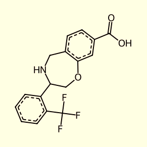 O=C(O)c1ccc2c(c1)OCC(c1ccccc1C(F)(F)F)NC2